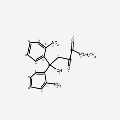 CN(O)C(=O)C(=O)CC(O)(c1ccccc1[N+](=O)[O-])c1ccccc1[N+](=O)[O-]